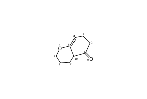 O=C1CCC=C2OCCCC12